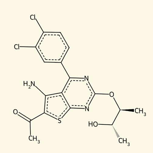 CC(=O)c1sc2nc(O[C@@H](C)[C@H](C)O)nc(-c3ccc(Cl)c(Cl)c3)c2c1N